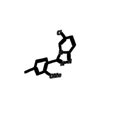 COc1cc(C)ccc1-c1nnc2ccc(Cl)cn12